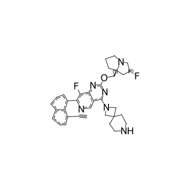 C#Cc1cccc2cccc(-c3ncc4c(N5CC6(CCNCC6)C5)nc(OC[C@@]56CCCN5C[C@H](F)C6)nc4c3F)c12